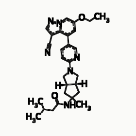 CCOc1cc(-c2ccc(N3C[C@@H]4CC(C)(NC(=O)CC(C)C)C[C@@H]4C3)nc2)c2c(C#N)cnn2c1